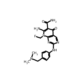 CN(C)Cc1ccc(Nc2ncc3c(=O)c(C(N)=O)c(N)n(CF)c3n2)cc1